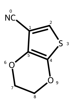 N#Cc1csc2c1OCCO2